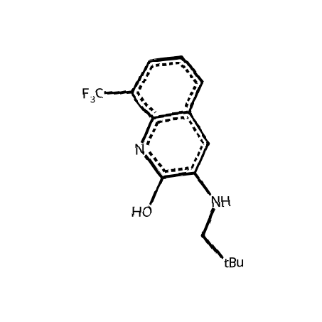 CC(C)(C)CNc1cc2cccc(C(F)(F)F)c2nc1O